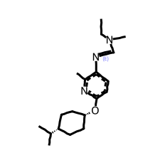 CCN(C)/C=N/c1ccc(O[C@H]2CC[C@@H](C(C)C)CC2)nc1C